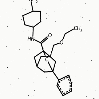 CCOCC12CC3CC(c4ccccc4)(C1)CC2(C(=O)NC1CCC(N)CC1)C3